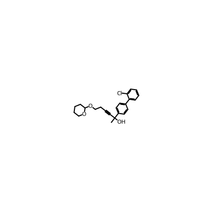 CC(O)(C#CCCOC1CCCCO1)c1ccc(-c2ccccc2Cl)cc1